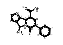 NC1c2ccsc2-c2c(C(=O)O)cc(-c3ccccc3)c(=O)n21